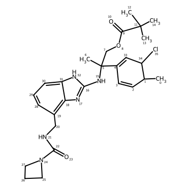 CC1C=CC(C(C)(COC(=O)C(C)(C)C)Nc2nc3c(CNC(=O)N4CCC4)cccc3[nH]2)=CC1Cl